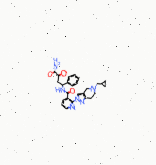 NC(=O)C(=O)CC(NC(=O)c1cccnc1-n1cc2c(n1)CCN(CC1CC1)C2)c1ccccc1